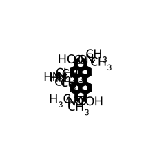 CN(C)C(=O)c1ccc2c3ccc(C(=O)O)c4c(C(=O)N(C)C)ccc(c5ccc(C(=O)O)c1c52)c43.CNC.CNC